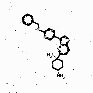 N[C@H]1CC[C@](N)(c2ccc3ncc(-c4ccc(NCc5ccccc5)nc4)n3n2)CC1